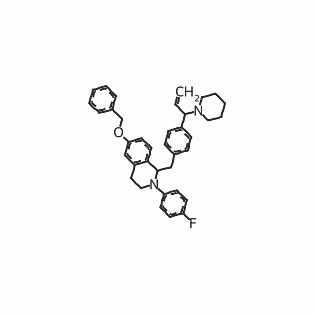 C=CC(c1ccc(CC2c3ccc(OCc4ccccc4)cc3CCN2c2ccc(F)cc2)cc1)N1CCCCC1